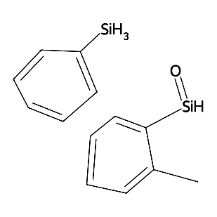 Cc1ccccc1[SiH]=O.[SiH3]c1ccccc1